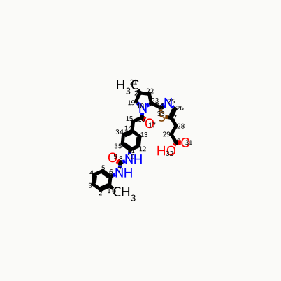 Cc1ccccc1NC(=O)Nc1ccc(CC(=O)N2CC(C)CC2c2ncc(CCC(=O)O)s2)cc1